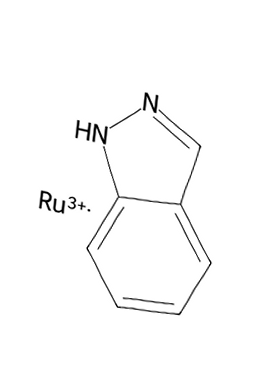 [Ru+3].c1ccc2[nH]ncc2c1